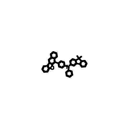 CC1(C)c2ccccc2-c2cc(N(c3ccccc3)c3ccc(-c4c5ccccc5cc5c4oc4ccccc45)cc3)ccc21